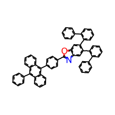 c1ccc(-c2ccccc2-c2cc3nc(-c4ccc(-c5c6ccccc6c(-c6ccccc6)c6ccccc56)cc4)oc3cc2-c2ccccc2-c2ccccc2)cc1